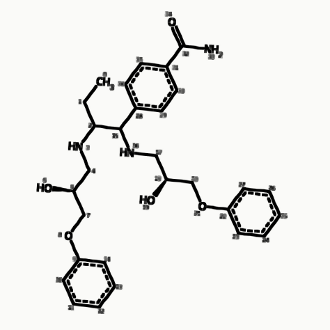 CCC(NC[C@H](O)COc1ccccc1)C(NC[C@H](O)COc1ccccc1)c1ccc(C(N)=O)cc1